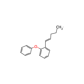 [CH2]CCC=Cc1ccccc1Oc1ccccc1